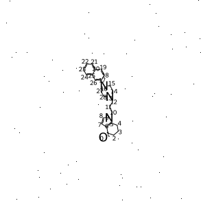 O=C1CCCc2c1ccn2CCCN1CCN(c2ccc3ccccc3c2)CC1